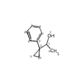 CC(O)C1(c2ccccc2)CC1